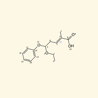 CCOC(C/C=C(\C)C(=O)O)Oc1ccccc1